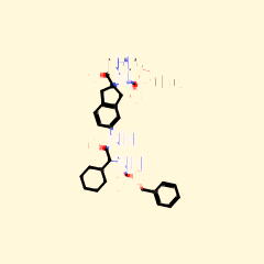 CNC(=O)C1(NC(=O)OC(C)(C)C)Cc2ccc(NC(=O)[C@@H](NC(=O)OCc3ccccc3)C3CCCCC3)cc2C1